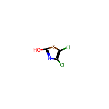 Oc1nc(Cl)c(Cl)s1